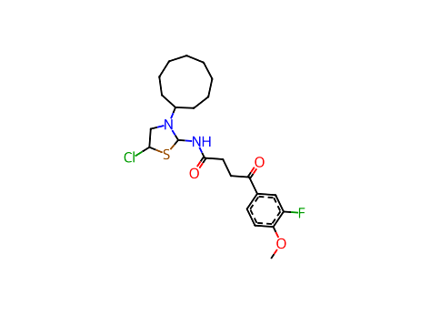 COc1ccc(C(=O)CCC(=O)NC2SC(Cl)CN2C2CCCCCCCC2)cc1F